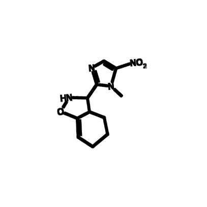 Cn1c([N+](=O)[O-])cnc1C1NOC2=CCCCC21